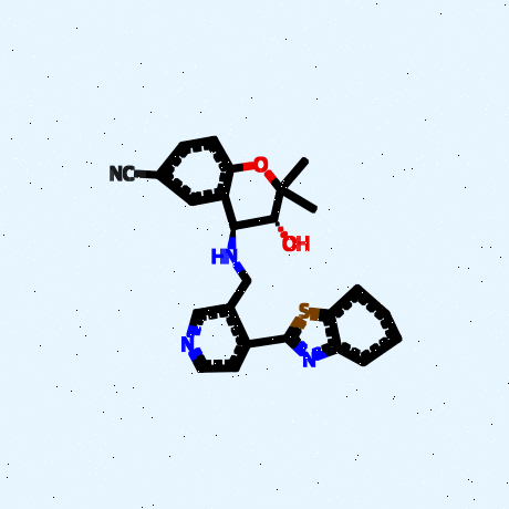 CC1(C)Oc2ccc(C#N)cc2[C@H](NCc2cnccc2-c2nc3ccccc3s2)[C@H]1O